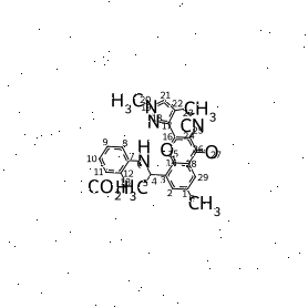 Cc1cc(C(C)Nc2ccccc2C(=O)O)c2oc(-c3nn(C)cc3C)c(C#N)c(=O)c2c1